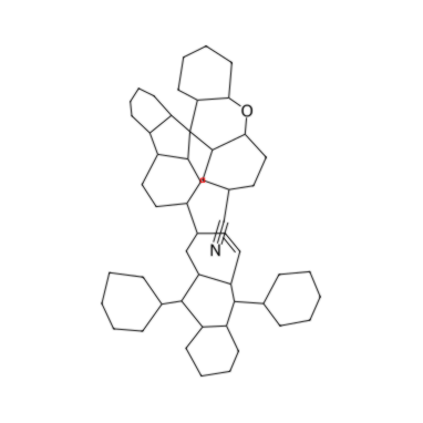 N#CC1CCC2OC3CCCCC3C3(C2C1)C1CCCCC1C1CCC(C2C=CC4C(C2)C(C2CCCCC2)C2CCCCC2C4C2CCCCC2)CC13